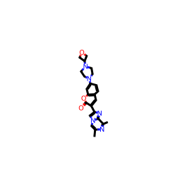 Cc1cn2cc(-c3cc4ccc(N5CCN(C6COC6)CC5)cc4oc3=O)nc2c(C)n1